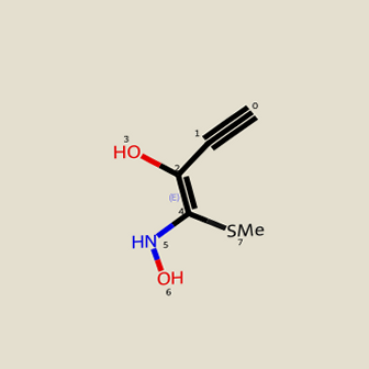 C#C/C(O)=C(/NO)SC